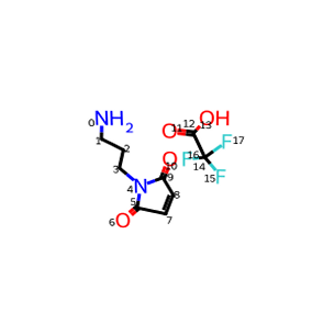 NCCCN1C(=O)C=CC1=O.O=C(O)C(F)(F)F